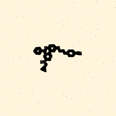 N#CC1CCN(CCCOc2ccc3nc(-c4ccccc4)n(CC(=O)NCC4CC4)c(=O)c3c2)CC1